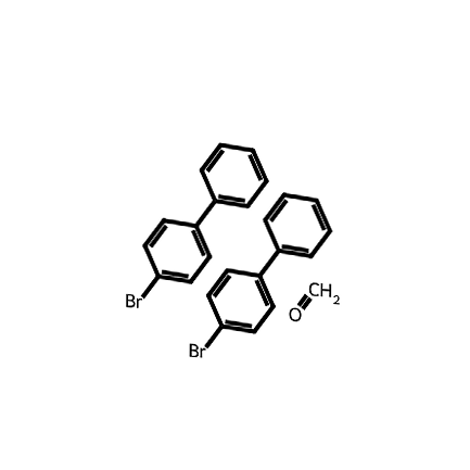 Brc1ccc(-c2ccccc2)cc1.Brc1ccc(-c2ccccc2)cc1.C=O